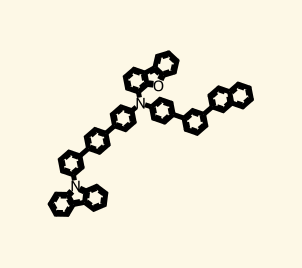 c1cc(-c2ccc(N(c3ccc(-c4ccc(-c5cccc(-n6c7ccccc7c7ccccc76)c5)cc4)cc3)c3cccc4c3oc3ccccc34)cc2)cc(-c2ccc3ccccc3c2)c1